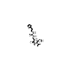 CC(C)[C@@H](C(=O)O)N(C)C(=O)CCNC(=S)NCCc1cccs1